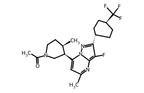 CC(=O)N1CC[C@@H](C)[C@@H](c2cc(C)nc3c(F)c([C@H]4CC[C@H](C(F)(F)F)CC4)nn23)C1